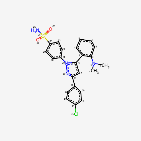 CN(C)c1ccccc1-c1cc(-c2ccc(Cl)cc2)nn1-c1ccc(S(N)(=O)=O)cc1